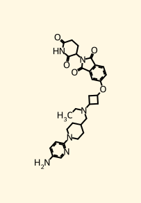 CCN(CC1CCN(c2ccc(N)cn2)CC1)C1CC(Oc2ccc3c(c2)C(=O)N(C2CCC(=O)NC2=O)C3=O)C1